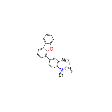 CCN(C)c1ccc(-c2cccc3c2oc2ccccc23)cc1[N+](=O)[O-]